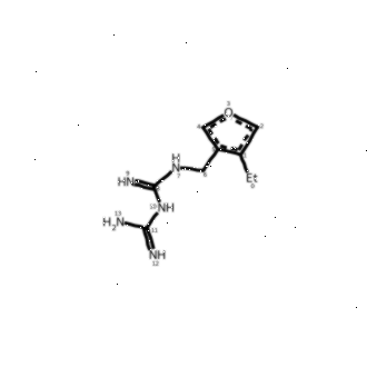 CCc1cocc1CNC(=N)NC(=N)N